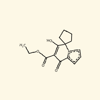 CCOC(=O)C1=C(O)C2(CCCC2)n2cccc2C1=O